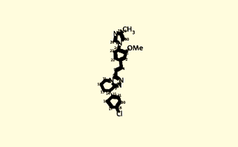 COc1cc(/C=C/c2nnc3n2CCC[C@H]3c2ccc(Cl)cc2)ccc1-n1cnc(C)c1